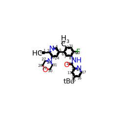 C#Cc1ncc(-c2cc(NC(=O)c3cc(C(C)(C)C)ccn3)c(F)cc2C)cc1N1CCOCC1